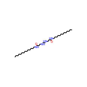 CCCCCCCCCCCCCCNC(=O)CCNCCNCCC(=O)NCCCCCCCCCCCCC